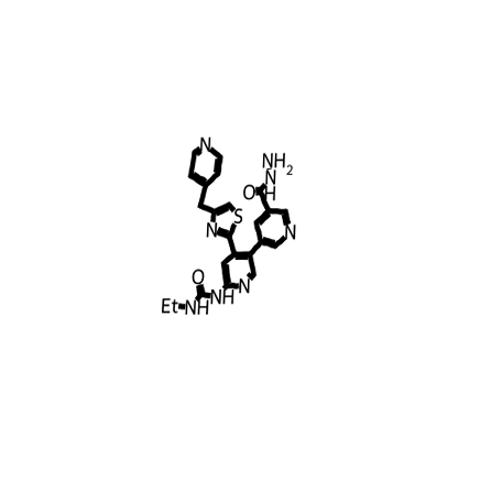 CCNC(=O)Nc1cc(-c2nc(Cc3ccncc3)cs2)c(-c2cncc(C(=O)NN)c2)cn1